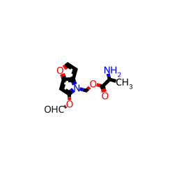 CC(N)C(=O)OCn1c(OC=O)cc2occc21